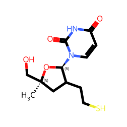 C[C@@]1(CO)CC(CCS)[C@H](n2ccc(=O)[nH]c2=O)O1